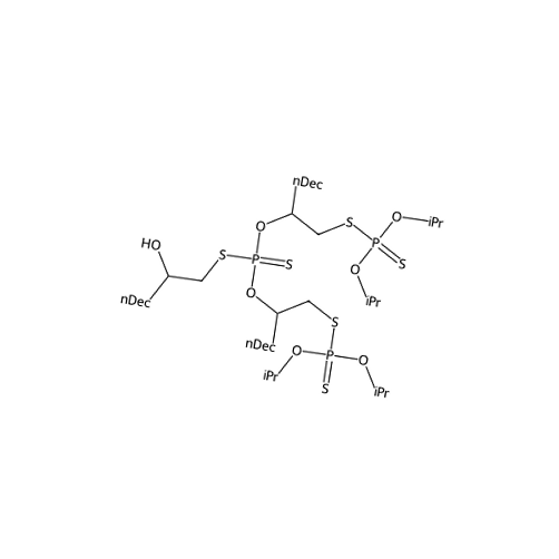 CCCCCCCCCCC(O)CSP(=S)(OC(CCCCCCCCCC)CSP(=S)(OC(C)C)OC(C)C)OC(CCCCCCCCCC)CSP(=S)(OC(C)C)OC(C)C